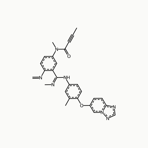 C=Nc1ccc(N(C)C(=O)C#CC)cc1/C(=N\C)Nc1ccc(Oc2ccc3ncnn3c2)c(C)c1